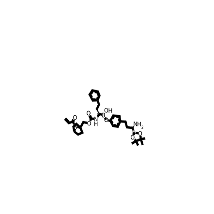 C=CC(=O)N1C2CCC1(COC(=O)N[C@@H](CCc1ccccc1)B(O)Oc1ccc(CC[C@H](N)B3OC(C)(C)C(C)(C)O3)cc1)CC2